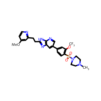 COc1ccnc(CCc2nc3cc(-c4ccc(S(=O)(=O)N5CCN(C)CC5)c(OC(F)(F)F)c4)cnc3[nH]2)c1